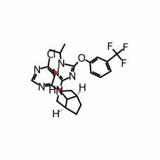 CC(C)n1nc(NC2[C@@H]3CC[C@H]2CN(c2cc(Cl)ncn2)C3)nc1Oc1cccc(C(F)(F)F)c1